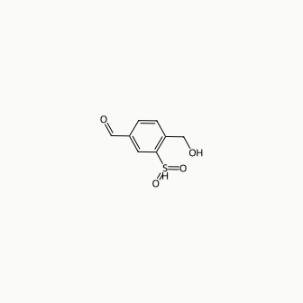 O=Cc1ccc(CO)c([SH](=O)=O)c1